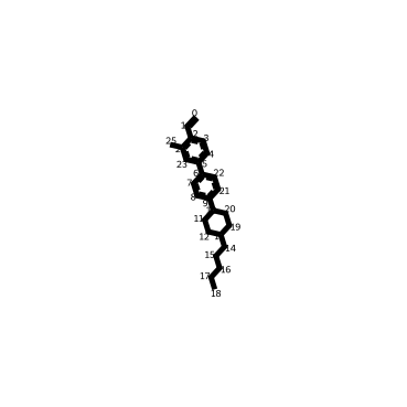 C=Cc1ccc(-c2ccc(C3CCC(CCCCC)CC3)cc2)cc1C